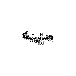 CC(C)(C)OC(=O)N(CCNC(=O)CCC(=O)ON1C(=O)CCC1=O)CCNC(=O)CCC(=O)ON1C(=O)CCC1=O